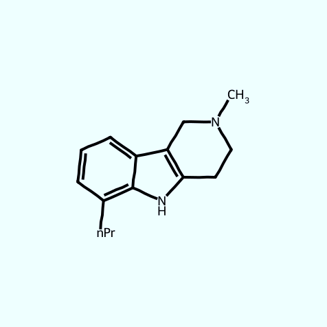 CCCc1cccc2c3c([nH]c12)CCN(C)C3